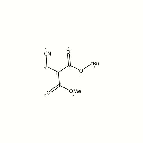 COC(=O)C(CC#N)C(=O)OC(C)(C)C